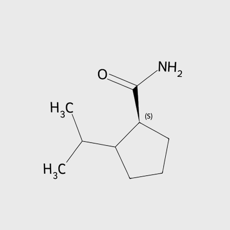 CC(C)C1CCC[C@@H]1C(N)=O